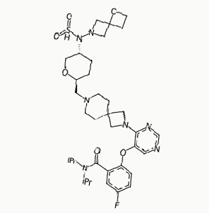 CC(C)N(C(=O)c1cc(F)ccc1Oc1cncnc1N1CC2(CCN(C[C@@H]3CC[C@@H](N(N4CC5(CCO5)C4)[SH](=O)=O)CO3)CC2)C1)C(C)C